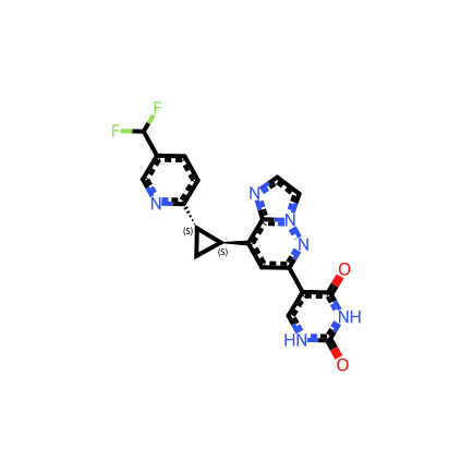 O=c1[nH]cc(-c2cc([C@H]3C[C@@H]3c3ccc(C(F)F)cn3)c3nccn3n2)c(=O)[nH]1